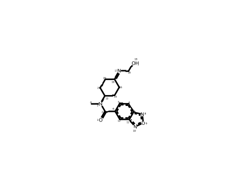 CN(C(=O)c1ccc2nonc2c1)C1CCC(=NCO)CC1